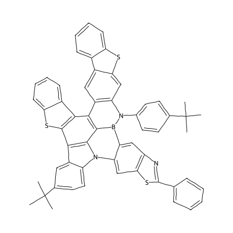 CC(C)(C)c1ccc(N2B3c4cc5nc(-c6ccccc6)sc5cc4-n4c5ccc(C(C)(C)C)cc5c5c6sc7ccccc7c6c(c3c54)-c3cc4c(cc32)sc2ccccc24)cc1